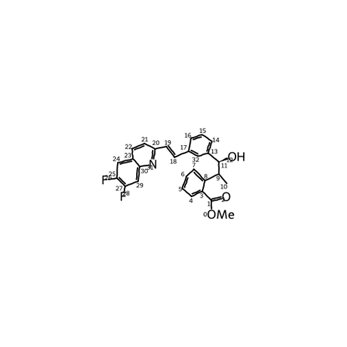 COC(=O)c1ccccc1C(C)[C@H](O)c1cccc(C=Cc2ccc3cc(F)c(F)cc3n2)c1